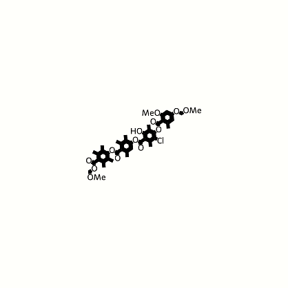 COCOC(=O)c1c(C)c(C)c(OC(=O)c2c(C)cc(OC(=O)c3c(C)c(Cl)c(OC(=O)c4c(C)cc(OCOC)cc4OC)c(C)c3O)c(C)c2C)c(C)c1C